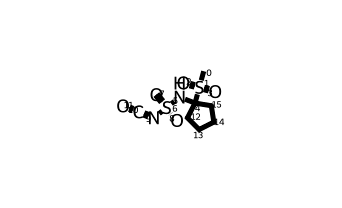 CS(=O)(=O)C1(NS(=O)(=O)N=C=O)CCCC1